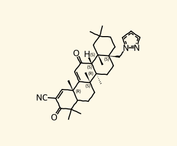 CC1(C)CC[C@]2(Cn3cccn3)CC[C@]3(C)[C@H](C(=O)C=C4[C@@]5(C)C=C(C#N)C(=O)C(C)(C)C5CC[C@]43C)[C@]2(C)C1